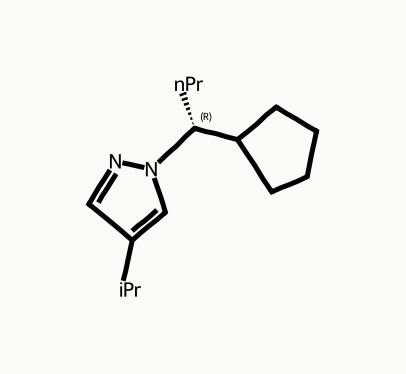 CCC[C@H](C1CCCC1)n1cc(C(C)C)cn1